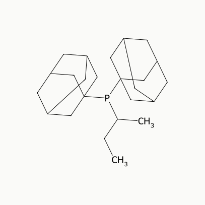 CCC(C)P(C12CC3CC(CC(C3)C1)C2)C12CC3CC(CC(C3)C1)C2